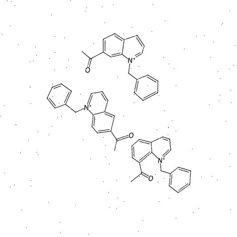 CC(=O)c1ccc2c(ccc[n+]2Cc2ccccc2)c1.CC(=O)c1ccc2ccc[n+](Cc3ccccc3)c2c1.CC(=O)c1cccc2ccc[n+](Cc3ccccc3)c12